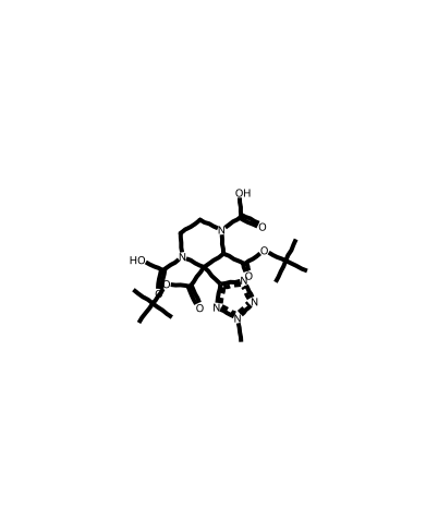 Cn1nnc(C2(C(=O)OC(C)(C)C)C(C(=O)OC(C)(C)C)N(C(=O)O)CCN2C(=O)O)n1